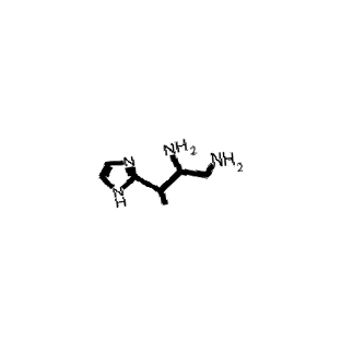 CC(c1ncc[nH]1)C(N)CN